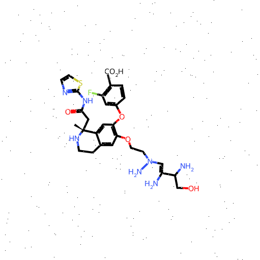 C[C@]1(CC(=O)Nc2nccs2)NCCc2cc(OCCN(N)/C=C(\N)C(N)CO)c(Oc3ccc(C(=O)O)c(F)c3)cc21